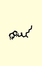 C=C(CC(C)CCCCC)Cn1ccc2ccncc21